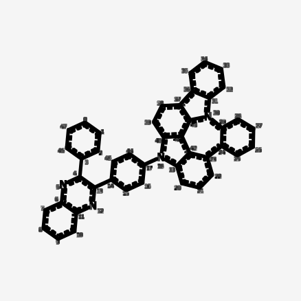 c1ccc(-c2nc3ccccc3nc2-c2ccc(-n3c4cccc5c6ccccc6n6c7ccccc7c7ccc3c(c54)c76)cc2)cc1